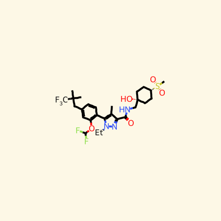 CCn1nc(C(=O)NC[C@]2(O)CC[C@@H](S(C)(=O)=O)CC2)c(C)c1-c1ccc(CC(C)(C)C(F)(F)F)cc1OC(F)F